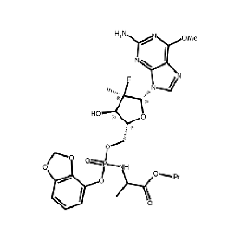 COc1nc(N)nc2c1ncn2[C@@H]1O[C@H](COP(=O)(NC(C)C(=O)OC(C)C)Oc2cccc3c2OCO3)[C@@H](O)[C@@]1(C)F